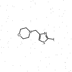 Ic1nc(CN2CCOCC2)cs1